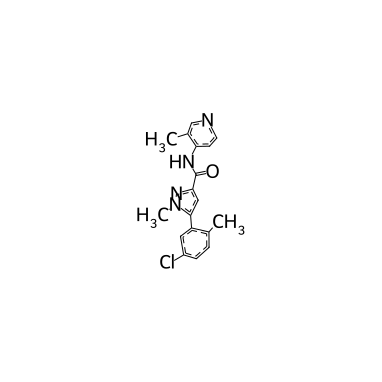 Cc1cnccc1NC(=O)c1cc(-c2cc(Cl)ccc2C)n(C)n1